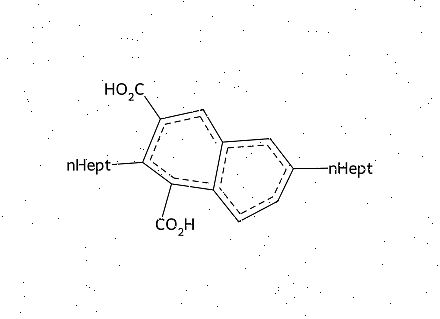 CCCCCCCc1ccc2c(C(=O)O)c(CCCCCCC)c(C(=O)O)cc2c1